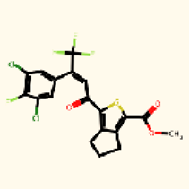 COC(=O)c1sc(C(=O)/C=C(\c2cc(Cl)c(F)c(Cl)c2)C(F)(F)F)c2c1CCC2